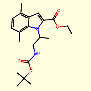 CCOC(=O)c1cc2c(C)ccc(C)c2n1C(C)CNC(=O)OC(C)(C)C